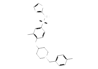 Cc1ccc(CN2CCC(Oc3ccc(S(=O)(=O)Nc4nccs4)cc3Cl)CC2)cc1